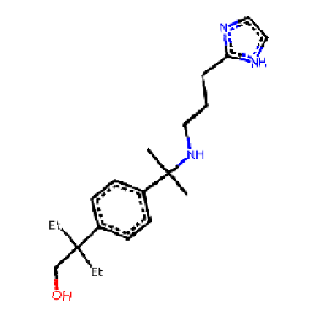 CCC(CC)(CO)c1ccc(C(C)(C)NCCCc2ncc[nH]2)cc1